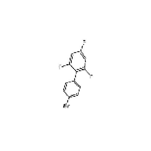 Fc1cc(F)c(-c2ccc(Br)cc2)c(F)c1